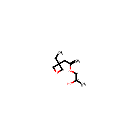 C=C(CC1(CC)COC1)OCC(C)O